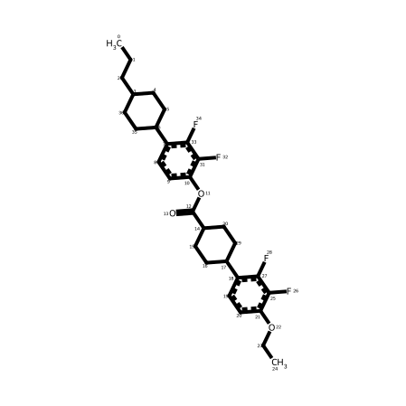 CCCC1CCC(c2ccc(OC(=O)C3CCC(c4ccc(OCC)c(F)c4F)CC3)c(F)c2F)CC1